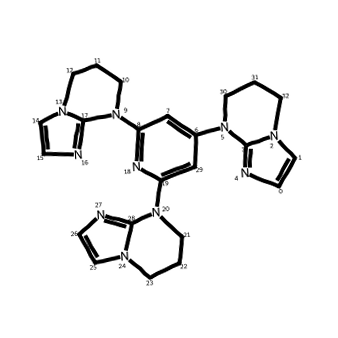 c1cn2c(n1)N(c1cc(N3CCCn4ccnc43)nc(N3CCCn4ccnc43)c1)CCC2